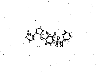 Cn1nccc1[C@H]1CCC[C@@H]1Oc1ccc(S(=O)(=O)Nc2ccccn2)c(F)c1F